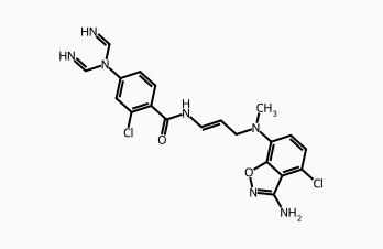 CN(C/C=C/NC(=O)c1ccc(N(C=N)C=N)cc1Cl)c1ccc(Cl)c2c(N)noc12